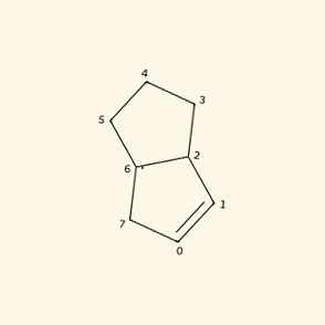 C1=CC2CCC[C]2C1